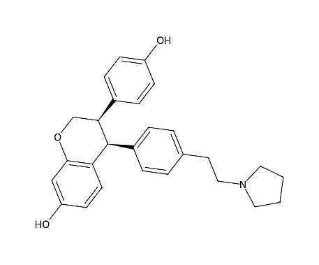 Oc1ccc([C@@H]2COc3cc(O)ccc3[C@@H]2c2ccc(CCN3CCCC3)cc2)cc1